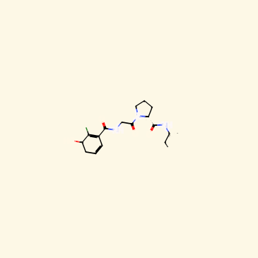 O=C[C@H](CC(=O)O)NC(=O)[C@@H]1CCCN1C(=O)CNC(=O)C1=C(Cl)C(O)CC=C1